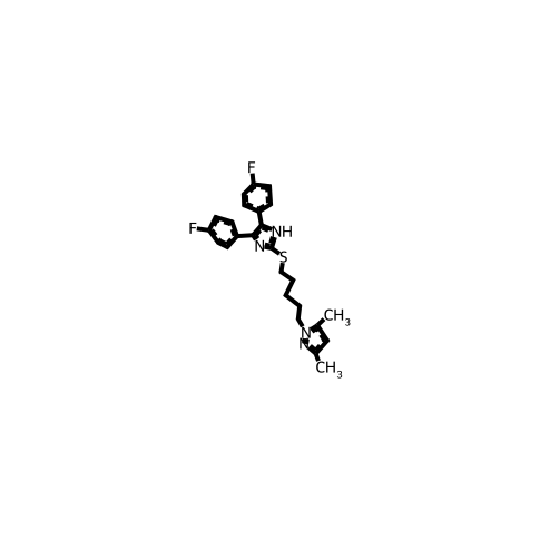 Cc1cc(C)n(CCCCCSc2nc(-c3ccc(F)cc3)c(-c3ccc(F)cc3)[nH]2)n1